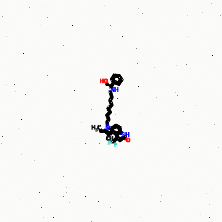 CCc1c(C)c2c3c(C(F)(F)F)cc(=O)[nH]c3ccc2n1CCCCCCCCCN[C@@H](CO)c1ccccc1